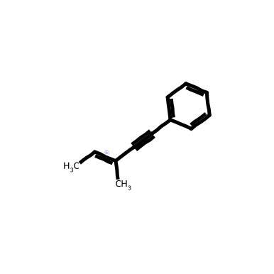 C/C=C(\C)C#Cc1ccccc1